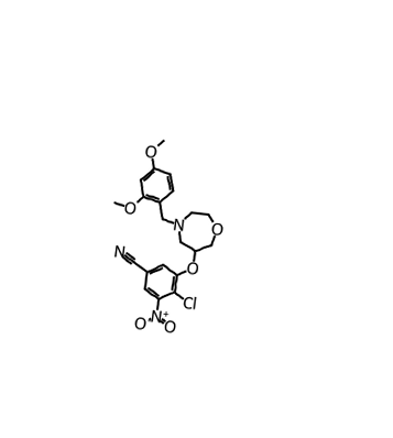 COc1ccc(CN2CCOCC(Oc3cc(C#N)cc([N+](=O)[O-])c3Cl)C2)c(OC)c1